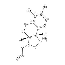 Br.C=CCN1CC[C@H]2c3ccc(O)c(O)c3CC[C@H]21